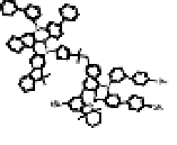 CC(C)(C)c1ccc(-c2cccc(N3c4cc(-c5ccc(C(C)(C)C)cc5)ccc4B4c5c(cc6cc(CC(C)(C)c7ccc(N8B9c%10ccc(-c%11ccccc%11)cc%10N(c%10cccc(-c%11ccccc%11)c%10)c%10cc%11ccccc%11c(c%109)-c9cc%10c(cc98)C(C)(C)c8ccccc8-%10)cc7)ccc6c53)-c3cc(C(C)(C)C)cc5c3N4C3(C)CCCCC53C)c2)cc1